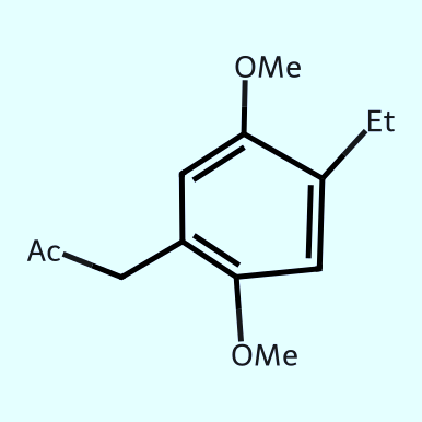 CCc1cc(OC)c(CC(C)=O)cc1OC